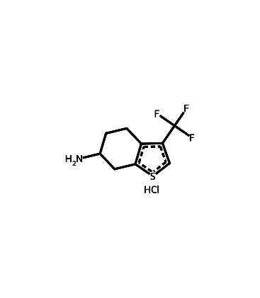 Cl.NC1CCc2c(C(F)(F)F)csc2C1